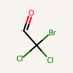 O=[C]C(Cl)(Cl)Br